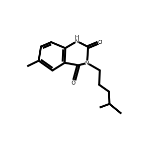 Cc1ccc2[nH]c(=O)n(CCCC(C)C)c(=O)c2c1